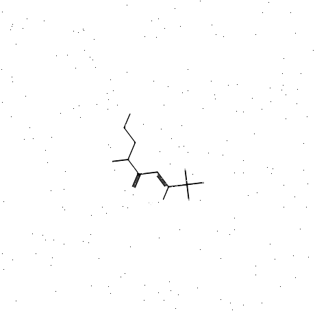 CCC(CCI)C(=O)/C=C(\OC)C(CC)(CC)CC